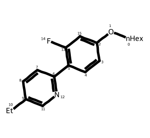 CCCCCCOc1ccc(-c2ccc(CC)cn2)c(F)c1